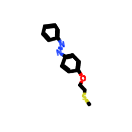 CSCCOc1ccc(N=Nc2ccccc2)cc1